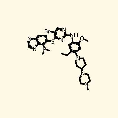 CCc1cc(Nc2ncc(Br)c(Sc3ccc4nccnc4c3P(C)C)n2)c(OC)cc1N1CCC(N2CCN(C)CC2)CC1